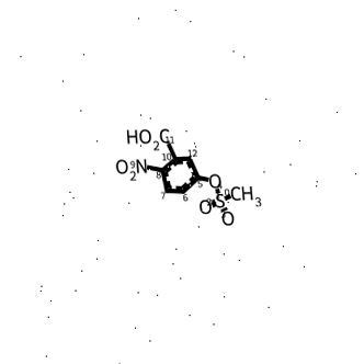 CS(=O)(=O)Oc1ccc([N+](=O)[O-])c(C(=O)O)c1